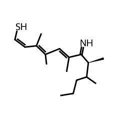 CCCC(C)[C@H](C)C(=N)/C(C)=C/C(C)=C(C)/C=C\S